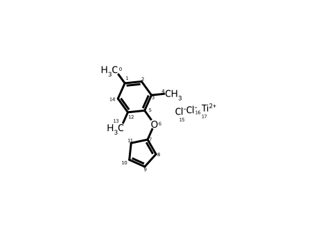 Cc1cc(C)c(OC2=CC=CC2)c(C)c1.[Cl-].[Cl-].[Ti+2]